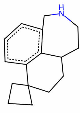 c1cc2c3c(c1)C1(CCC1)CCC3CCNC2